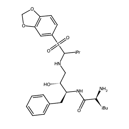 CC[C@H](C)[C@H](N)C(=O)N[C@@H](Cc1ccccc1)[C@H](O)CNC(C(C)C)S(=O)(=O)c1ccc2c(c1)OCO2